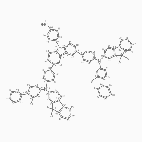 Cc1cc(N(c2ccc(-c3ccc4c(c3)c3cc(-c5ccc(N(c6ccc(-c7ccccc7)c(C)c6)c6ccc7c(c6)C(C)(C)c6ccccc6-7)cc5)ccc3n4-c3ccc(C=O)cc3)cc2)c2ccc3c(c2)C(C)(C)c2ccccc2-3)ccc1-c1ccccc1